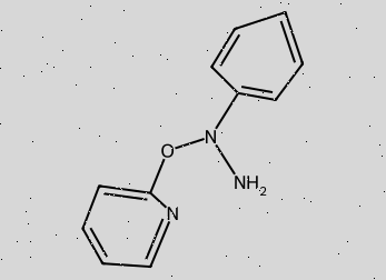 NN(Oc1ccccn1)c1ccccc1